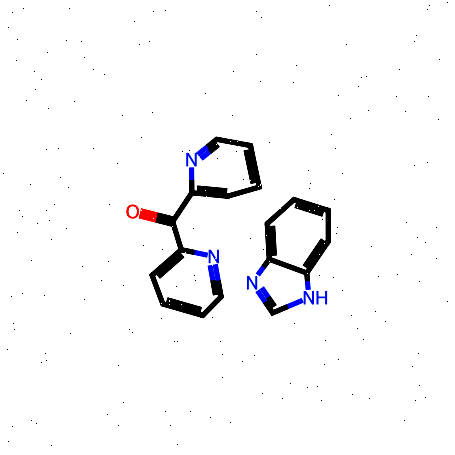 O=C(c1ccccn1)c1ccccn1.c1ccc2[nH]cnc2c1